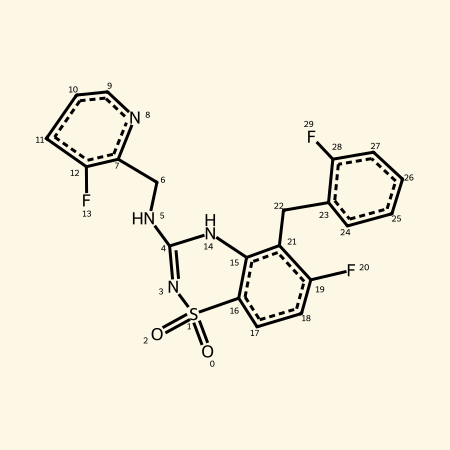 O=S1(=O)N=C(NCc2ncccc2F)Nc2c1ccc(F)c2Cc1ccccc1F